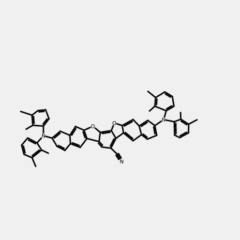 Cc1cccc(N(c2ccc3cc4c(cc3c2)oc2c4cc(C#N)c3c4cc5ccc(N(c6cccc(C)c6C)c6cccc(C)c6C)cc5cc4oc23)c2cccc(C)c2C)c1C